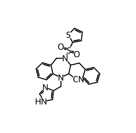 N#CC1C(Cc2ccccc2)N(S(=O)(=O)c2cccs2)Cc2ccccc2N1Cc1c[nH]cn1